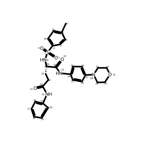 Cc1ccc(S(=O)(=O)N[C@@H](CCC(=O)Nc2ccccc2)C(=O)Nc2ccc(N3CCOCC3)cc2)cc1